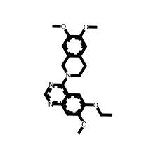 CCOc1cc2c(N3CCc4cc(OC)c(OC)cc4C3)ncnc2cc1OC